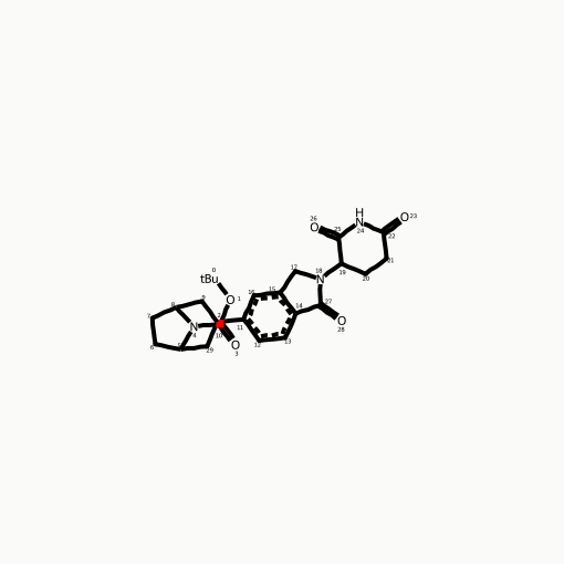 CC(C)(C)OC(=O)N1C2CCC1CC(c1ccc3c(c1)CN(C1CCC(=O)NC1=O)C3=O)C2